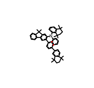 CC1(C)CCC(C)(C)c2cc(-c3ccc(-c4cc5c(cc4N(c4ccccc4)c4cccc6c4C(C)(C)CCC6(C)C)C(C)(C)c4ccccc4-5)cc3)ccc21